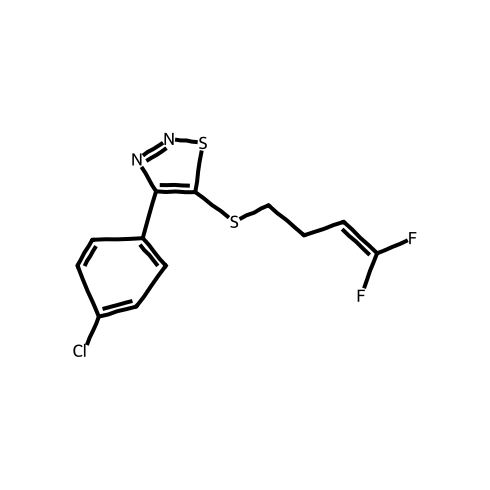 FC(F)=CCCSc1snnc1-c1ccc(Cl)cc1